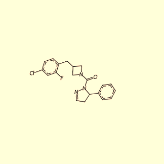 O=C(N1CC(Cc2ccc(Cl)cc2F)C1)N1N=CCC1c1ccccc1